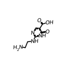 NCCNc1ncc(C(=O)O)c(=O)[nH]1